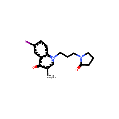 CCOC(=O)c1cn(CCCN2CCCC2=O)c2ccc(I)cc2c1=O